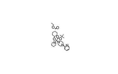 CCOC(=O)[C@H]1CC[C@H](OC(C(=O)OC(C)(C)C)(N2CCCC2)N2CCN(c3ccccn3)CC2)CC1